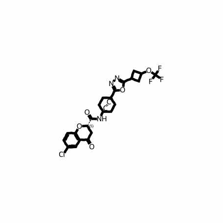 O=C1C[C@@H](C(=O)NC23CCC(c4nnc(C5CC(OC(F)(F)F)C5)o4)(CC2)CC3)Oc2ccc(Cl)cc21